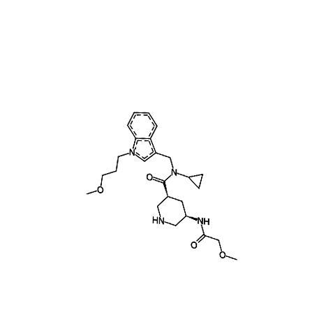 COCCCn1cc(CN(C(=O)[C@@H]2CNC[C@H](NC(=O)COC)C2)C2CC2)c2ccccc21